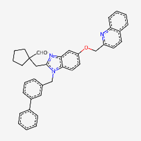 O=[C]C1(Cc2nc3cc(OCc4ccc5ccccc5n4)ccc3n2Cc2cccc(-c3ccccc3)c2)CCCC1